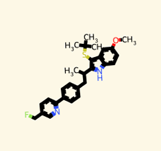 COc1ccc2[nH]c(C(C)Cc3ccc(-c4ccc(CF)cn4)cc3)c(SC(C)(C)C)c2c1